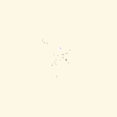 CC[Si](CC)(CC)O[C@@H](CCc1ccccc1)C[C@@H]([C@@H]1[C@@H](C/C=C\CCCC23OCC(C)(CO2)CO3)[C@H](O[Si](CC)(CC)CC)C[C@H]1O[Si](CC)(CC)CC)S(=O)(=O)c1ccccc1